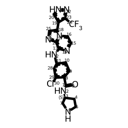 O=C(N[C@H]1CCNC1)c1ccc(Nc2nccn3c(-c4c[nH]nc4C(F)(F)F)cnc23)cc1Cl